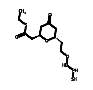 CCSC(=O)C[C@H]1CC(=O)C[C@H](CCOBPS)O1